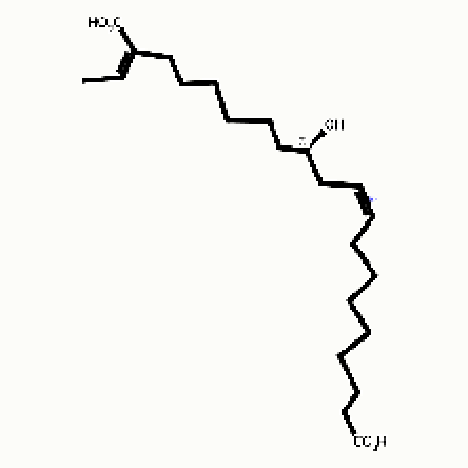 CC=C(CCCCCC[C@@H](O)C/C=C\CCCCCCCC(=O)O)C(=O)O